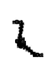 CCCCCCCCC=CCCCCCCCCNC(=O)C(CN)NC(=O)CCCCCCCC=CCCCCCCCC